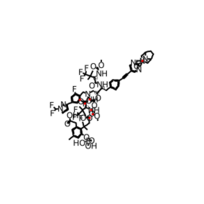 COC(=O)N[C@H](C(=O)N[C@@H](Cc1ccc(C#Cc2cnc(N3CC4CCC(C3)N4C3COC3)nc2)cc1)[C@H](CN(Cc1c(F)cc(-c2ccn(C(F)F)n2)cc1F)NC(=O)[C@@H](NC(=O)OC)C(C)(C)C(F)(F)F)OC(=O)OCOC(=O)CC(C)(C)c1c(CC(=O)O)cc(C)cc1OP(=O)(O)O)C(C)(C)C(F)(F)F